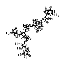 CO[C@@H]1[C@H](OP(=O)(O)OCC2O[C@@H](n3cnc4c(=O)[nH]c(N)nc43)[C@H](O)[C@@H]2O)C(COP(=O)(O)OCC(OP(=O)(O)O)C(COP(=O)(O)OC[C@H]2O[C@@H](n3c[n+](C)c4c(=O)[nH]c(N)nc43)[C@H](O)[C@@H]2O)OP(=O)(O)O)O[C@H]1n1cnc2c(N)ncnc21